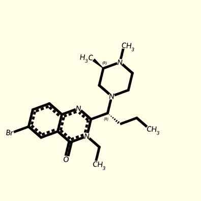 CCC[C@H](c1nc2ccc(Br)cc2c(=O)n1CC)N1CCN(C)[C@H](C)C1